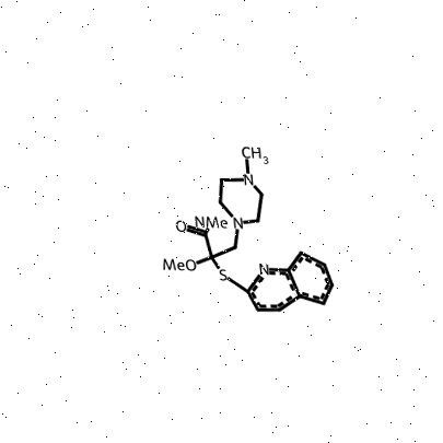 CNC(=O)C(CN1CCN(C)CC1)(OC)Sc1ccc2ccccc2n1